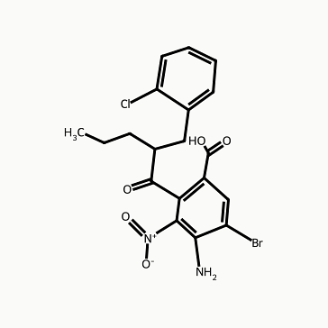 CCCC(Cc1ccccc1Cl)C(=O)c1c(C(=O)O)cc(Br)c(N)c1[N+](=O)[O-]